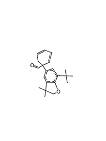 CC(C)(C)c1cc(C2(C=O)C=CC=CC2)cc2c1OCC2(C)C